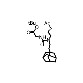 CC(=O)SCCN(CCC12CC3CC(CC(C3)C1)C2)C(=O)NCC(=O)OC(C)(C)C